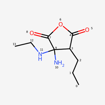 CCCC1C(=O)OC(=O)C1(N)NCC